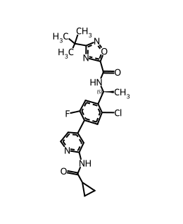 C[C@H](NC(=O)c1nc(C(C)(C)C)no1)c1cc(F)c(-c2ccnc(NC(=O)C3CC3)c2)cc1Cl